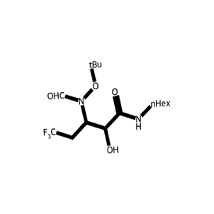 CCCCCCNC(=O)C(O)C(CC(F)(F)F)N(C=O)OC(C)(C)C